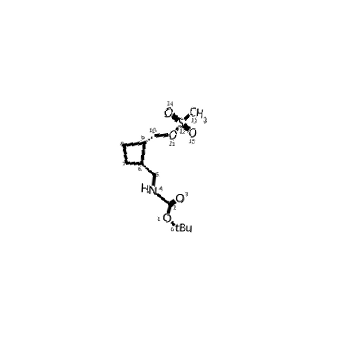 CC(C)(C)OC(=O)NC[C@H]1CC[C@@H]1COS(C)(=O)=O